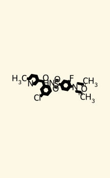 Cc1ccc(C(=O)c2cc(Cl)ccc2NS(=O)(=O)c2ccc(N3C[C@@H](C)O[C@@H](C)C3)c(F)c2)cn1